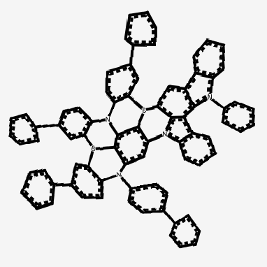 c1ccc(-c2ccc(N3c4ccc(-c5ccccc5)cc4B4c5cc(-c6ccccc6)ccc5N5c6ccc(-c7ccccc7)cc6B6c7c(cc3c4c75)-n3c4ccccc4c4c3c6cc3c5ccccc5n(-c5ccccc5)c34)cc2)cc1